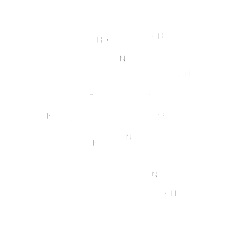 Cc1c(O)c(=O)c(C(N2CCN(C)CC2)C(F)(F)F)cn1C.Cl